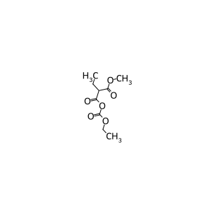 CCOC(=O)OC(=O)C(CC)C(=O)OC